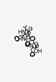 COC(=O)[C@@H](NC(=O)[C@H](Cc1ccccc1)NC(=O)c1ccccc1-c1ccccc1C(=O)N[C@@H](Cc1ccccc1)C(=O)O)C(C)C